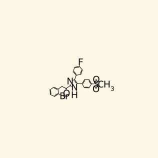 CS(=O)(=O)c1ccc(-c2[nH]c(C(=O)Cc3ccccc3Br)nc2-c2ccc(F)cc2)cc1